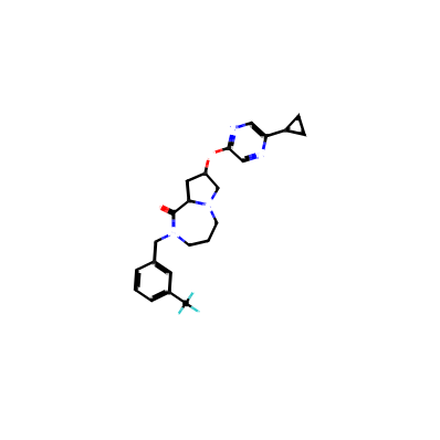 O=C1C2CC(Oc3cnc(C4CC4)cn3)CN2CCCN1Cc1cccc(C(F)(F)F)c1